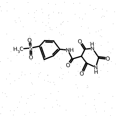 CS(=O)(=O)c1ccc(NC(=O)C2C(=O)NC(=O)NC2=O)cc1